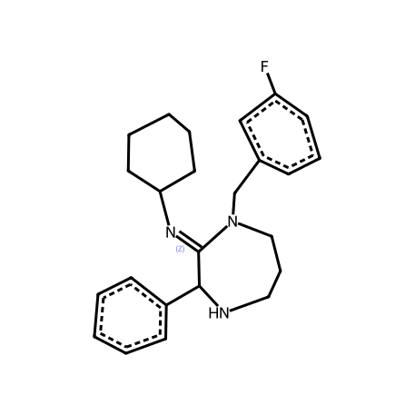 Fc1cccc(CN2CCCNC(c3ccccc3)/C2=N/C2CCCCC2)c1